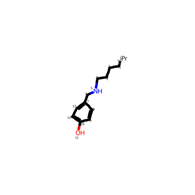 CC(C)CCCCNCc1ccc(O)cc1